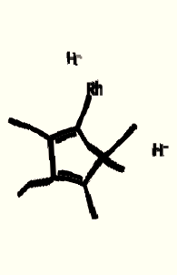 CC1=C(C)C(C)(C)[C]([Rh])=C1C.[H-].[H-]